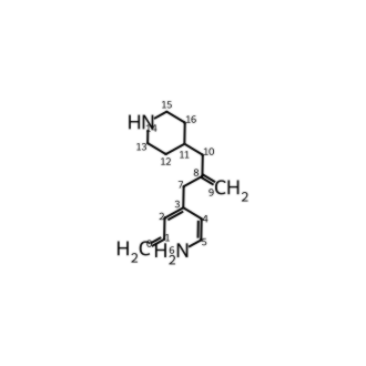 C=C/C=C(\C=C/N)CC(=C)CC1CCNCC1